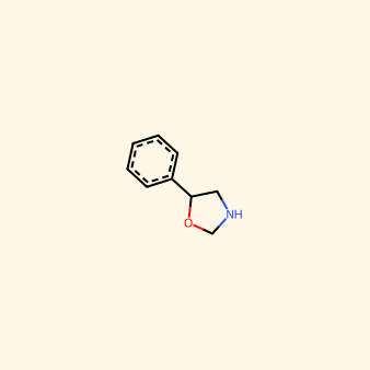 c1ccc(C2CNCO2)cc1